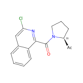 CC(=O)[C@@H]1CCCN1C(=O)c1nc(Cl)cc2ccccc12